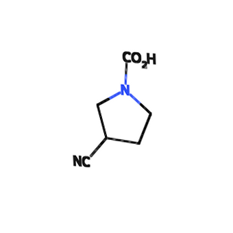 N#CC1CCN(C(=O)O)C1